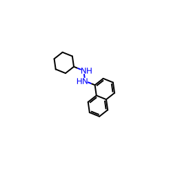 c1ccc2c(NNC3CCCCC3)cccc2c1